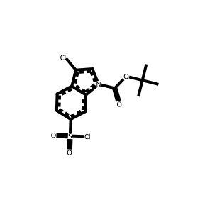 CC(C)(C)OC(=O)n1cc(Cl)c2ccc(S(=O)(=O)Cl)cc21